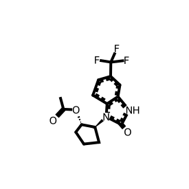 CC(=O)O[C@H]1CCC[C@@H]1n1c(=O)[nH]c2cc(C(F)(F)F)ccc21